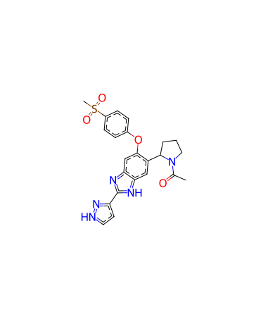 CC(=O)N1CCCC1c1cc2[nH]c(-c3cc[nH]n3)nc2cc1Oc1ccc(S(C)(=O)=O)cc1